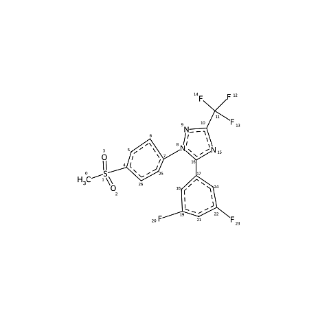 CS(=O)(=O)c1ccc(-n2nc(C(F)(F)F)nc2-c2cc(F)cc(F)c2)cc1